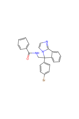 O=C(NCC1(c2ccc(Br)cc2)c2ccccc2-c2nccn21)c1ccccc1